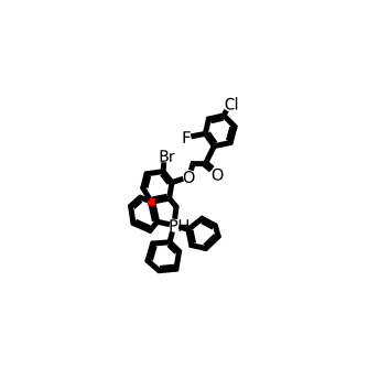 O=C(COc1c(Br)cccc1C[PH](c1ccccc1)(c1ccccc1)c1ccccc1)c1ccc(Cl)cc1F